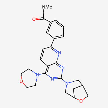 CNC(=O)c1cccc(-c2ccc3c(N4CCOCC4)nc(N4CC5COC(C5)C4)nc3n2)c1